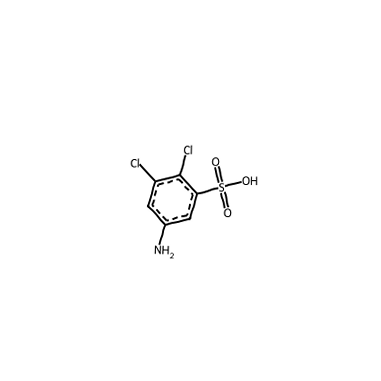 Nc1cc(Cl)c(Cl)c(S(=O)(=O)O)c1